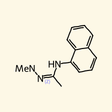 CN/N=C(/C)Nc1cccc2ccccc12